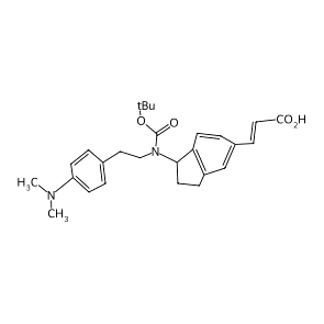 CN(C)c1ccc(CCN(C(=O)OC(C)(C)C)C2CCc3cc(/C=C/C(=O)O)ccc32)cc1